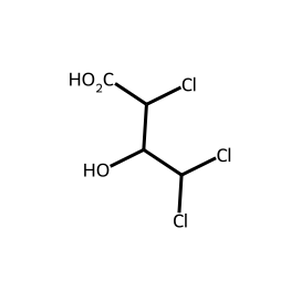 O=C(O)C(Cl)C(O)C(Cl)Cl